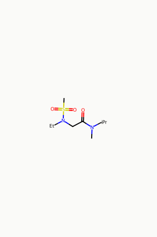 CCN(CC(=O)N(C)C(C)C)S(C)(=O)=O